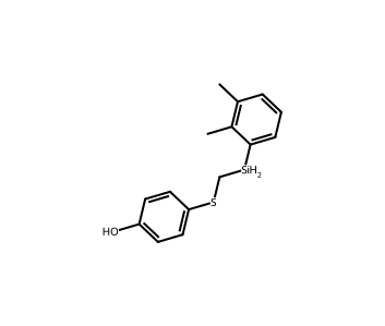 Cc1cccc([SiH2]CSc2ccc(O)cc2)c1C